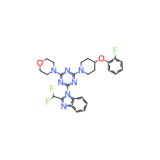 Fc1ccccc1OC1CCN(c2nc(N3CCOCC3)nc(-n3c(C(F)F)nc4ccccc43)n2)CC1